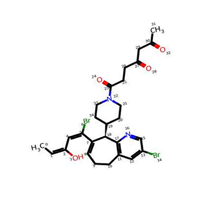 C/C=C(O)\C=C(\Br)C1=CCCc2cc(Br)cnc2[C@@H]1C1CCN(C(=O)CCC(=O)CC(C)=O)CC1